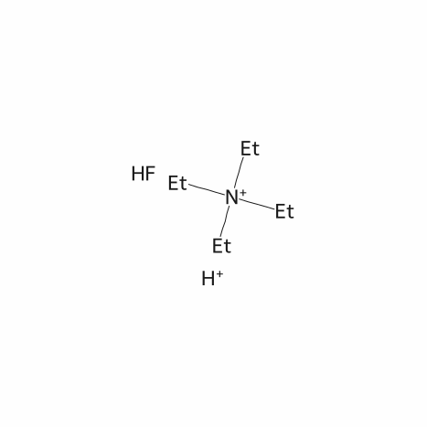 CC[N+](CC)(CC)CC.F.[H+]